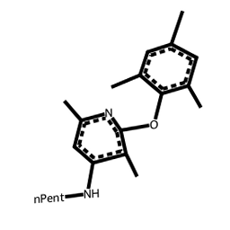 CCCCCNc1cc(C)nc(Oc2c(C)cc(C)cc2C)c1C